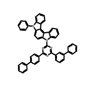 c1ccc(-c2ccc(-c3nc(-c4cccc(-c5ccccc5)c4)nc(-n4c5ccccc5c5c6c7ccccc7n(-c7ccccc7)c6ccc54)n3)cc2)cc1